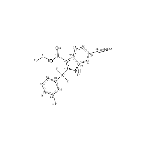 CCOC(=O)c1c(C(C)(C)c2ccnc(F)c2)[nH]c2cc(C#N)ccc12